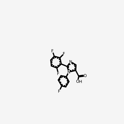 O=C(O)c1cnc(-c2c(F)ccc(F)c2F)n1-c1ccc(F)cc1